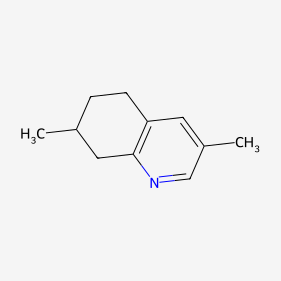 Cc1cnc2c(c1)CCC(C)C2